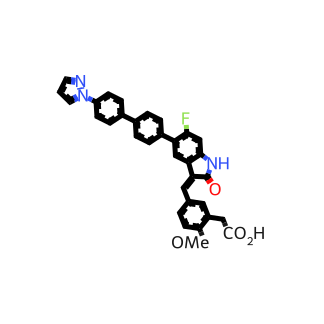 COc1ccc(C=C2C(=O)Nc3cc(F)c(-c4ccc(-c5ccc(-n6cccn6)cc5)cc4)cc32)cc1CC(=O)O